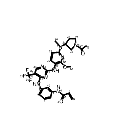 C=CC(=O)Nc1cccc(Nc2nc(Nc3ccc(N(C)C4CCN(C(C)=O)C4)nc3OC)ncc2C(F)(F)F)c1